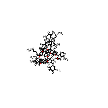 CC[C@H]1O[C@@H](n2cc(C)c(=O)[nH]c2=O)[C@@H](OCCOC)C1OP(=O)(S)OC[C@H]1O[C@@H](n2cc(C)c(=O)[nH]c2=O)[C@@H](OCCOC)C1OP(=O)(S)OC[C@H]1O[C@@H](n2cc(C)c(=O)[nH]c2=O)[C@@H](OCCOC)C1OP(=O)(S)OC[C@H]1O[C@@H](n2cc(C)c(=O)[nH]c2=O)[C@@H](OCCOC)C1OP(=O)(S)OC[C@H]1O[C@@H](n2cnc3c(N)ncnc32)[C@@H](OCCOC)C1OP(=O)(S)OC[C@H]1O[C@@H](n2cc(C)c(=O)[nH]c2=O)[C@@H](OCCOC)C1O